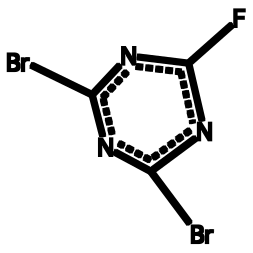 Fc1nc(Br)nc(Br)n1